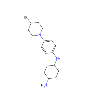 CCC1CCN(c2ccc(NC3CCC(N)CC3)cc2)CC1